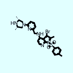 Cc1ccc(S(=O)(=O)n2c(C)c(Br)c3c(NCc4cccc(N5C[C@@H](C)N[C@@H](C)C5)n4)ccnc32)cc1